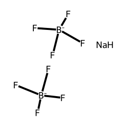 F[B-](F)(F)F.F[B-](F)(F)F.[NaH]